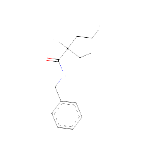 CCCC(C)(CC)C(=O)NCc1ccccc1